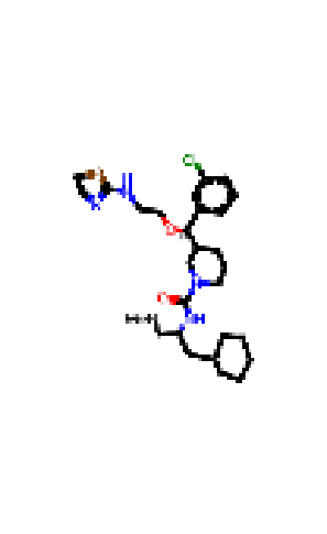 CNCC(CC1CCCCC1)NC(=O)N1CCCC([C@@H](OCCNc2nccs2)c2cccc(Cl)c2)C1